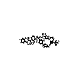 COCC1[C@@H](NS(=O)(=O)CCN(C)CC2Oc3ccccc3C3CCC(CC3)OC[C@H]3C(NS(=O)(=O)CF)CCCN3C2=O)CCCN1C(=O)COc1ccccc1C